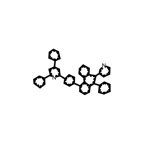 c1ccc(-c2cc(-c3ccccc3)nc(-c3ccc(-c4cccc5c(-c6ccccc6)c(-c6cccnc6)c6ccccc6c45)cc3)c2)cc1